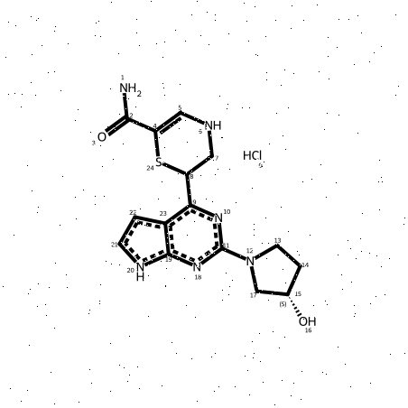 Cl.NC(=O)C1=CNCC(c2nc(N3CC[C@H](O)C3)nc3[nH]ccc23)S1